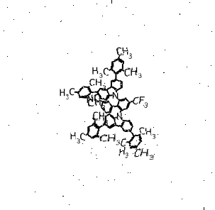 Cc1cc(C)c(-c2ccc3c(c2)c2cc(-c4c(C)cc(C)cc4C)ccc2n3-c2cc(C(F)(F)F)cc(-n3c4ccc(-c5c(C)cc(C)cc5C)cc4c4cc(-c5c(C)cc(C)cc5C)ccc43)c2-c2cccc(C#N)c2)c(C)c1